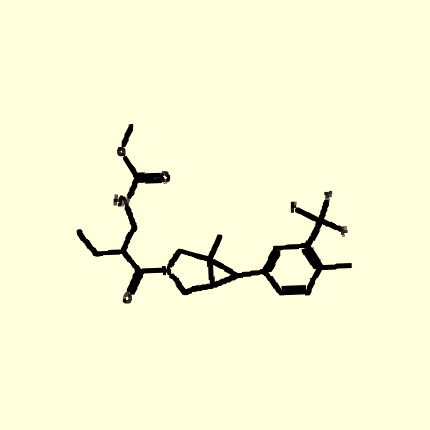 CCC(CNC(=O)OC)C(=O)N1CC2C(c3ccc(C)c(C(F)(F)F)c3)C2(C)C1